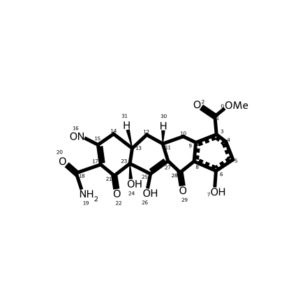 COC(=O)c1ccc(O)c2c1C[C@H]1C[C@H]3CC(N=O)=C(C(N)=O)C(=O)[C@@]3(O)C(O)=C1C2=O